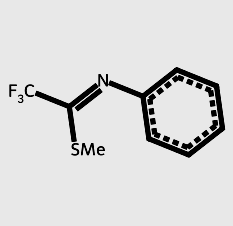 CS/C(=N\c1ccccc1)C(F)(F)F